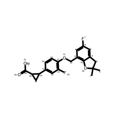 CC1(C)Cc2cc(F)cc(COc3ccc(C4CC4C(=O)O)cc3F)c2O1